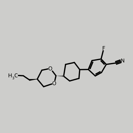 CCC[C@H]1CO[C@H](C2CCC(c3ccc(C#N)c(F)c3)CC2)OC1